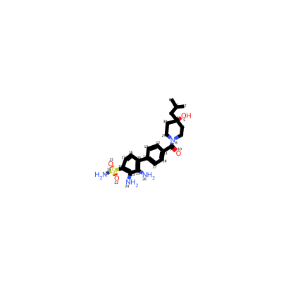 CC(C)CC1(O)CCN(C(=O)c2ccc(-c3ccc(S(N)(=O)=O)c(N)c3N)cc2)CC1